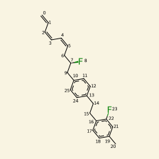 C=C/C=C\C=C/C[C@@H](F)Cc1ccc(CCc2ccc(C)cc2F)cc1